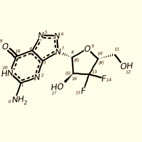 Nc1nc2c(nnn2[C@@H]2O[C@H](CO)C(F)(F)[C@H]2O)c(=O)[nH]1